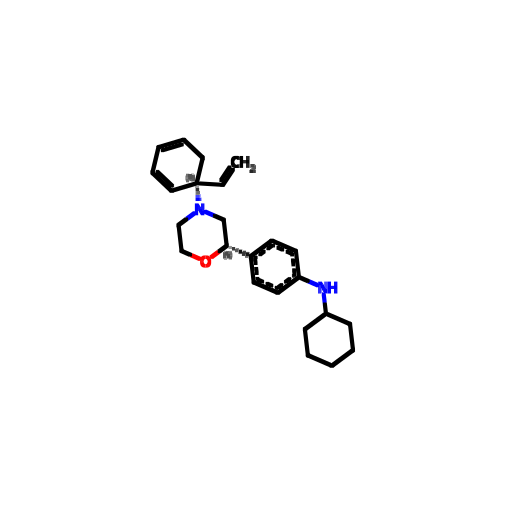 C=C[C@@]1(N2CCO[C@@H](c3ccc(NC4CCCCC4)cc3)C2)C=CC=CC1